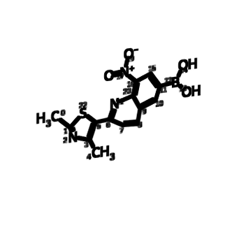 Cc1nc(C)c(-c2ccc3cc(B(O)O)cc([N+](=O)[O-])c3n2)s1